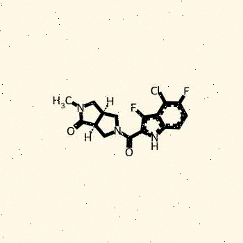 CN1C[C@H]2CN(C(=O)c3[nH]c4ccc(F)c(Cl)c4c3F)C[C@H]2C1=O